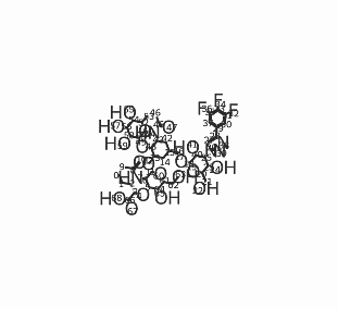 CCC[C@H](OC1C(NC(C)=O)[C@H](O[C@@H]2CC(CO[C@H]3OC(CO)[C@@H](O)C(n4cc(-c5cc(F)c(F)c(F)c5)nn4)C3O)CC(NC(C)=O)C2O[C@@H]2OC(C)[C@@H](O)C(O)C2O)OC(CO)[C@H]1O)C(=O)O